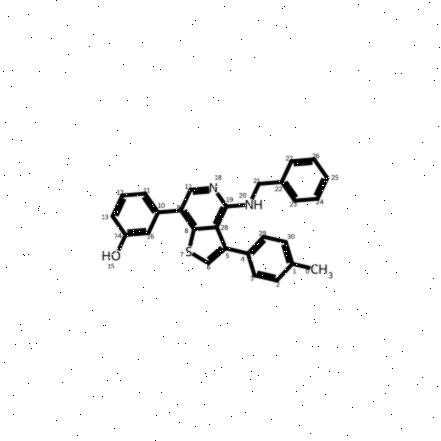 Cc1ccc(-c2csc3c(-c4cccc(O)c4)cnc(NCc4ccccc4)c23)cc1